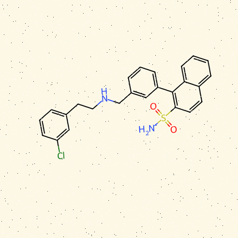 NS(=O)(=O)c1ccc2ccccc2c1-c1cccc(CNCCc2cccc(Cl)c2)c1